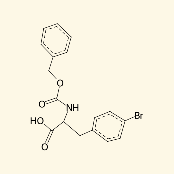 O=C(NC(Cc1ccc(Br)cc1)C(=O)O)OCc1ccccc1